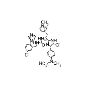 CN(C(=O)O)c1ccc(-c2nc([C@H](Cc3ccn(C)n3)NC(=O)NCc3cc(Cl)ccc3-n3cnnn3)[nH]c2Cl)cc1